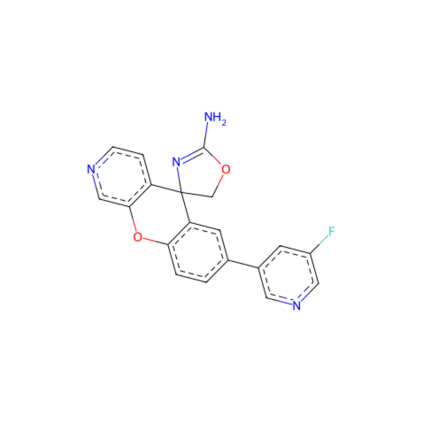 NC1=NC2(CO1)c1ccncc1Oc1ccc(-c3cncc(F)c3)cc12